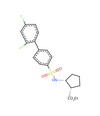 CCOC(=O)[C@H]1CCC[C@H]1NS(=O)(=O)c1ccc(-c2ccc(F)cc2F)cc1